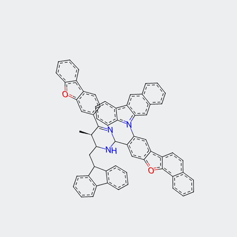 C[C@H]1C(c2ccc3c(c2)oc2ccccc23)=NC(c2cc3oc4c5ccccc5ccc4c3cc2-n2c3ccccc3c3cc4ccccc4cc32)NC1CC1c2ccccc2-c2ccccc21